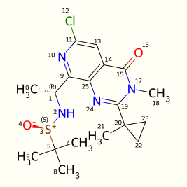 C[C@@H](N[S@+]([O-])C(C)(C)C)c1nc(Cl)cc2c(=O)n(C)c(C3(C)CC3)nc12